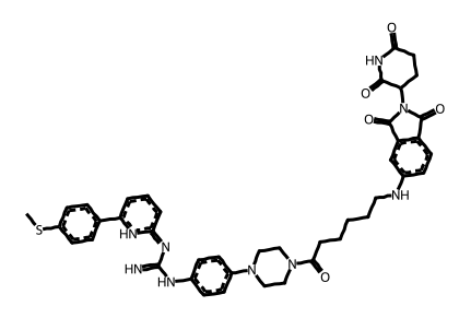 CSc1ccc(-c2ccc/c(=N/C(=N)Nc3ccc(N4CCN(C(=O)CCCCCNc5ccc6c(c5)C(=O)N(C5CCC(=O)NC5=O)C6=O)CC4)cc3)[nH]2)cc1